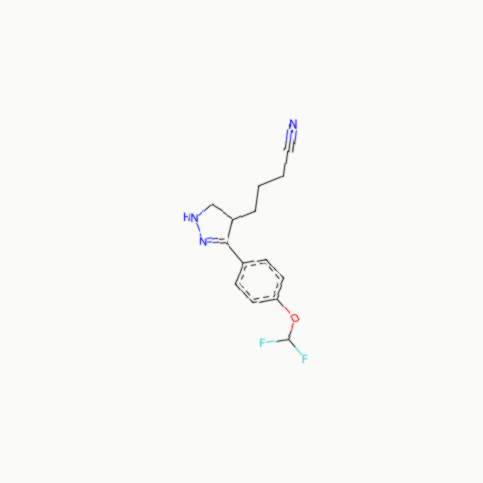 N#CCCCC1CNN=C1c1ccc(OC(F)F)cc1